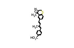 CC(/C=C/c1ccc2c(c1)C(C)(C)CCS2)=C\c1ccc(C(=O)O)cc1